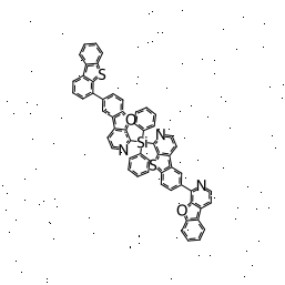 c1ccc([Si](c2ccccc2)(c2nccc3c2oc2ccc(-c4cccc5c4sc4ccccc45)cc23)c2nccc3c2sc2ccc(-c4nccc5c4oc4ccccc45)cc23)cc1